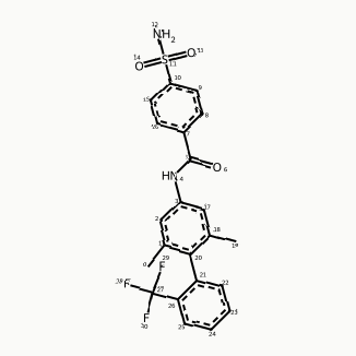 Cc1cc(NC(=O)c2ccc(S(N)(=O)=O)cc2)cc(C)c1-c1ccccc1C(F)(F)F